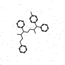 Cc1ccc(C(c2ccccc2)C(C)CCC(c2ccccc2)C(C)CCc2ccccc2)cc1